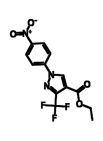 CCOC(=O)c1cn(-c2ccc([N+](=O)[O-])cc2)nc1C(F)(F)F